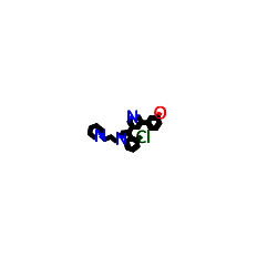 COc1cccc(-c2cncc(-c3cn(CCCN4CCCCC4)c4cccc(Cl)c34)c2)c1